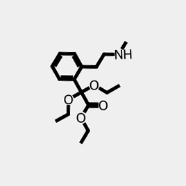 CCOC(=O)C(OCC)(OCC)c1ccccc1CCNC